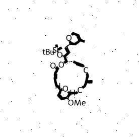 C=C1CC/C=C/C[C@@H]([C@H](/C=C/[C@@H]2CC(C)=CCO2)O[Si](C)(C)C(C)(C)C)OC(=O)/C=C\C[C@@H]2C=C[C@H](OC)[C@@H](CCC1)O2